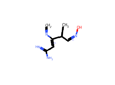 C=N/C(=C\C(=N)N)C(C)/C=N\O